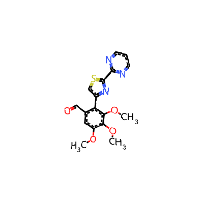 COc1cc(C=O)c(-c2csc(-c3ncccn3)n2)c(OC)c1OC